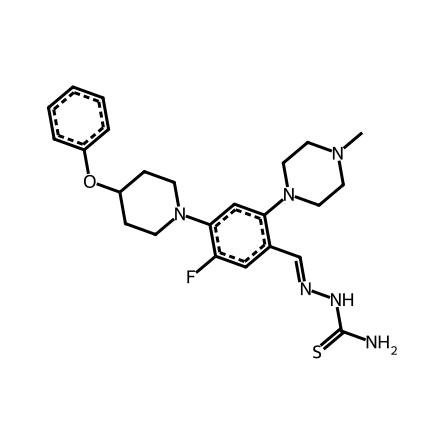 CN1CCN(c2cc(N3CCC(Oc4ccccc4)CC3)c(F)cc2C=NNC(N)=S)CC1